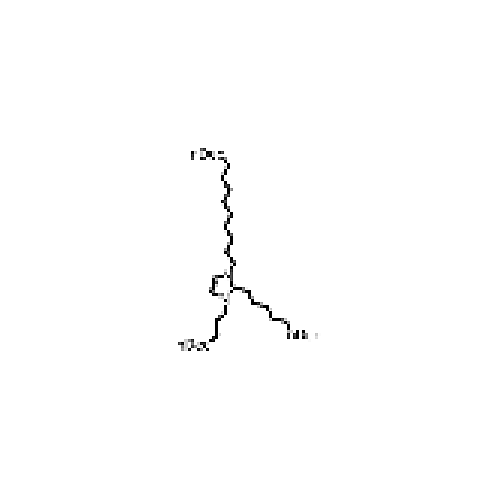 CCCCCCCCCCCCCCCCCCCN1C=CN(CCCCCCCCCCCCC)C1CCCCCCCCCCCCCCC